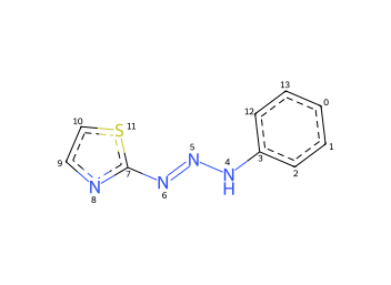 c1ccc(NN=Nc2nccs2)cc1